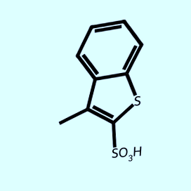 Cc1c(S(=O)(=O)O)sc2ccccc12